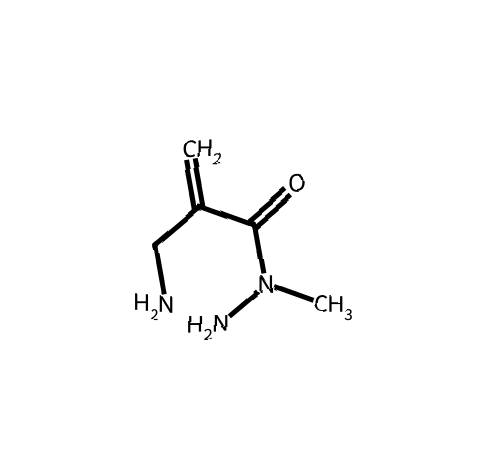 C=C(CN)C(=O)N(C)N